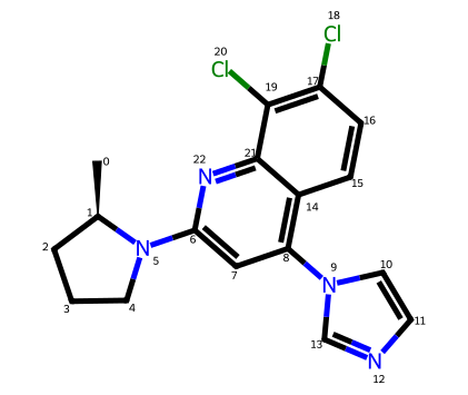 C[C@@H]1CCCN1c1cc(-n2ccnc2)c2ccc(Cl)c(Cl)c2n1